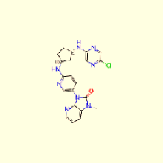 Cn1c(=O)n(-c2ccc(N[C@H]3CC[C@H](Nc4cnc(Cl)cn4)C3)nc2)c2ncccc21